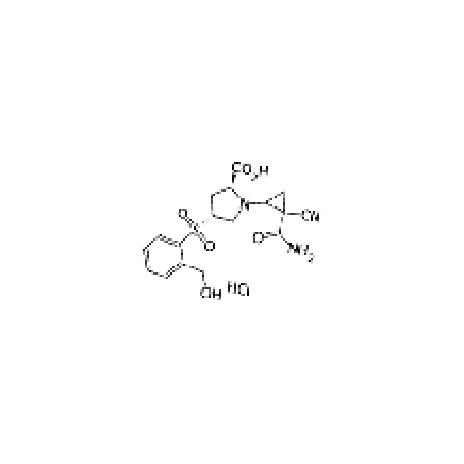 Cl.N#CC1(C(N)=O)CC1N1C[C@H](S(=O)(=O)c2ccccc2CO)C[C@H]1C(=O)O